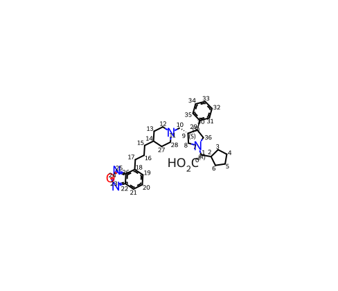 O=C(O)[C@@H](C1CCCC1)N1C[C@H](CN2CCC(CCCc3cccc4nonc34)CC2)[C@@H](c2ccccc2)C1